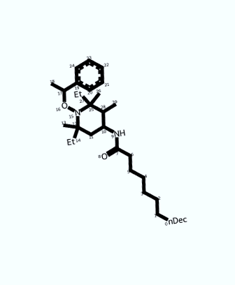 CCCCCCCCCCCCCCCCC(=O)NC1CC(C)(CC)N(OC(C)c2ccccc2)C(C)(CC)C1C